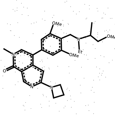 CCN(Cc1c(OC)cc(-c2cn(C)c(=O)c3cnc(N4CCC4)cc23)cc1OC)C(C)COC